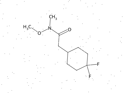 CON(C)C(=O)CC1CCC(F)(F)CC1